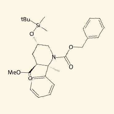 COC(=O)[C@H]1C[C@H](O[Si](C)(C)C(C)(C)C)CN(C(=O)OCc2ccccc2)[C@@]1(C)c1ccccc1